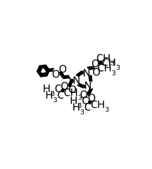 CC(C)(C)OC(=O)CN1CCN(CC(=O)OC(C)(C)C)CCN([C@H](CCC(=O)OCc2ccccc2)C(=O)OC(C)(C)C)CC1